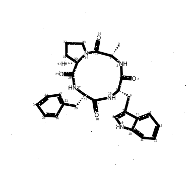 C[C@@H]1NC(=O)[C@H](Cc2c[nH]c3ccccc23)NC(=O)[C@H](Cc2ccccc2)NC(=O)[C@H]2CCCN2C1=O